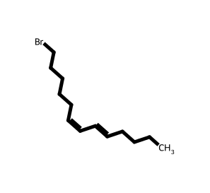 CCCC/C=C/C=C\CCCCCBr